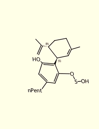 C=C(C)[C@@H]1CCC(C)=C[C@H]1c1c(O)cc(CCCCC)cc1OSO